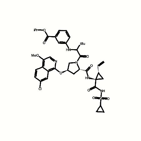 C=C[C@@H]1C[C@]1(NC(=O)[C@@H]1C[C@@H](Oc2ncc(OC)c3ccc(Cl)cc23)CN1C(=O)C(Nc1cccc(C(=O)OC(C)C)c1)C(C)(C)C)C(=O)NS(=O)(=O)C1CC1